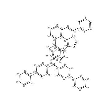 C1=CC2C(c3ccccc3)=Cc3cccc(-c4ccc(N(c5ccc(-c6ccccc6)cc5)c5ccc(-c6ccccc6)cc5)cc4)c3C2=C1c1ccccc1